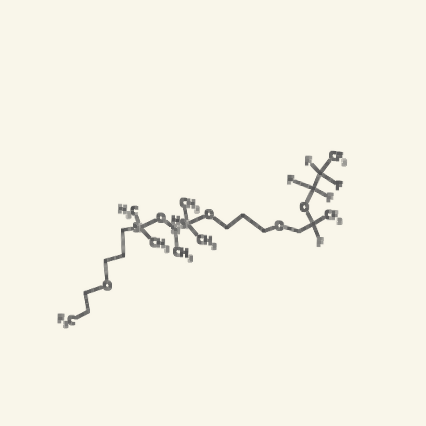 C[SiH](O[Si](C)(C)CCCOCCC(F)(F)F)[Si](C)(C)OCCCOCC(F)(OC(F)(F)C(F)(F)C(F)(F)F)C(F)(F)F